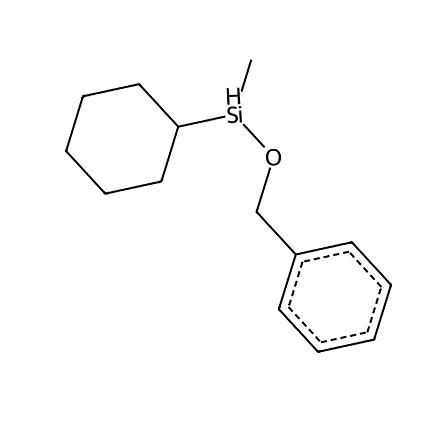 C[SiH](OCc1ccccc1)C1CCCCC1